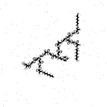 CCCCCCCCSCC(C)C(=O)OCCOC(=O)CCN(CCSCC(C)C(=O)OCCOC(=O)CCN(CCCN1CCN(C)CC1)CCC(=O)OCCOC(=O)C(C)CSCCN(CCC(=O)OCCOC(=O)C(C)CSCCCCCCCC)CCC(=O)OCCOC(=O)C(C)CSCCCCCCCC)CCC(=O)OCCOC(=O)C(C)CSC